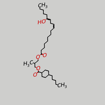 CCCCC/C(O)=C/C/C=C\CCCCCCCC(=O)OCC(C)COC(=O)C1CCC(CCCCC)CC1